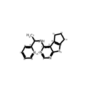 CC(Nc1ncnc2sc3c(c12)CCC3)c1ccccn1